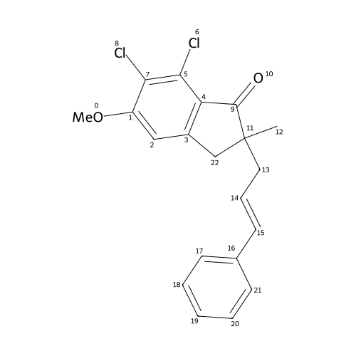 COc1cc2c(c(Cl)c1Cl)C(=O)C(C)(CC=Cc1ccccc1)C2